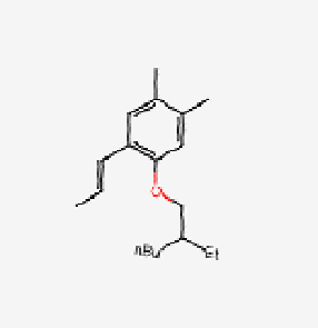 C/C=C/c1cc(C)c(C)cc1OCC(CC)CCCC